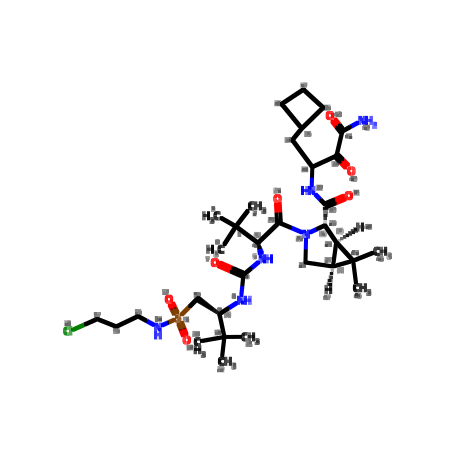 CC(C)(C)[C@H](NC(=O)N[C@H](CS(=O)(=O)NCCCCl)C(C)(C)C)C(=O)N1C[C@H]2[C@@H]([C@H]1C(=O)NC(CC1CCC1)C(=O)C(N)=O)C2(C)C